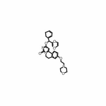 O=c1nc(OC(C2=CC=CCC2)C2=COC=CO2)cc2n1CCc1cc(OCCN3CCOCC3)ccc1-2